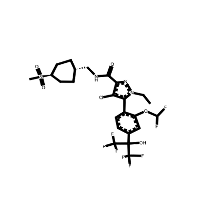 CCn1nc(C(=O)NC[C@H]2CC[C@H](S(C)(=O)=O)CC2)c(Cl)c1-c1ccc(C(O)(C(F)(F)F)C(F)(F)F)cc1OC(F)F